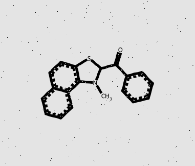 CN1c2c(ccc3ccccc23)SC1C(=O)c1ccccc1